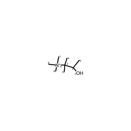 CC(O)C(C)(C)[N+](C)(C)C